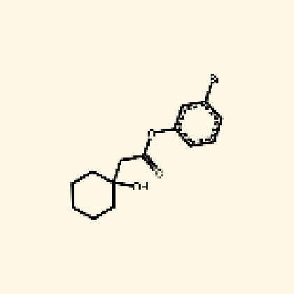 O=C(CC1(O)CCCCC1)Oc1cccc(Br)c1